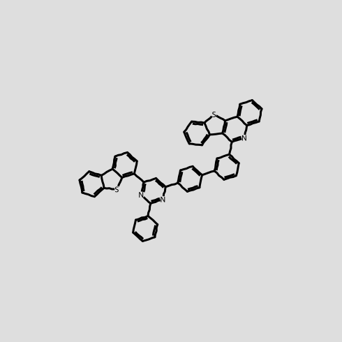 c1ccc(-c2nc(-c3ccc(-c4cccc(-c5nc6ccccc6c6sc7ccccc7c56)c4)cc3)cc(-c3cccc4c3sc3ccccc34)n2)cc1